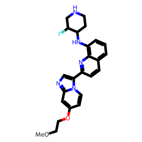 COCCOc1ccn2c(-c3ccc4cccc(NC5CCNCC5F)c4n3)cnc2c1